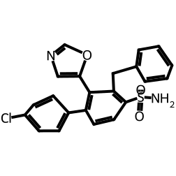 NS(=O)(=O)c1ccc(-c2ccc(Cl)cc2)c(-c2cnco2)c1Cc1ccccc1